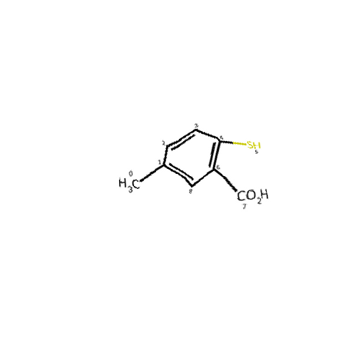 Cc1ccc(S)c(C(=O)O)c1